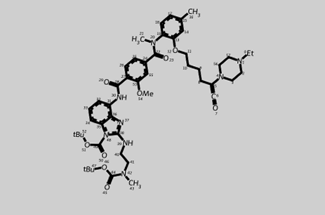 CCN1CCN(C(=C=O)CCCCOc2cc(C)ccc2N(C)C(=O)c2ccc(C(=O)Nc3cccc4c3nc(NCCN(C)C(=O)OC(C)(C)C)n4C(=O)OC(C)(C)C)c(OC)c2)CC1